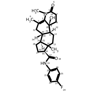 CC1=C2N(C)C(=O)CC[C@]2(C)[C@H]2CC[C@]3(C)[C@@H](C(=O)Nc4ccc(F)cc4)CC[C@H]3[C@@H]2C1